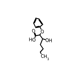 CCCCC(O)C(Oc1ccccc1)C(=O)O